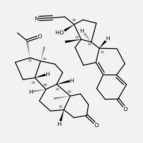 CC(=O)[C@H]1CC[C@H]2[C@@H]3CC[C@H]4CC(=O)CC[C@]4(C)[C@H]3CC[C@]12C.C[C@]12CCC3=C4CCC(=O)C=C4CC[C@H]3[C@@H]1CC[C@@]2(O)CC#N